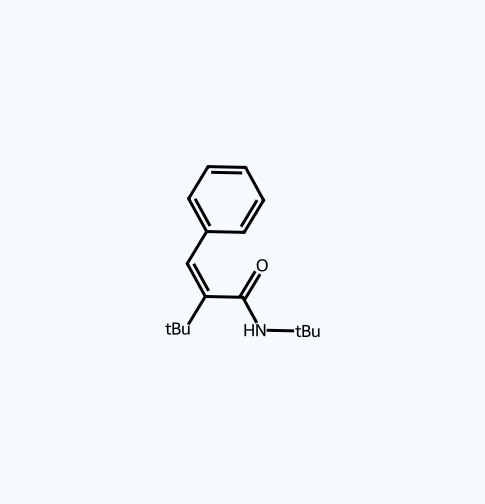 CC(C)(C)NC(=O)/C(=C\c1ccccc1)C(C)(C)C